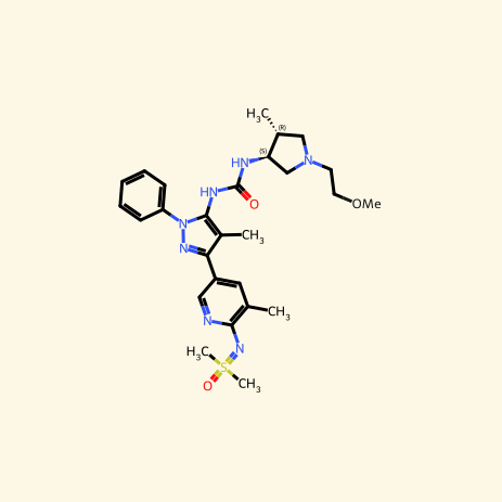 COCCN1C[C@@H](C)[C@H](NC(=O)Nc2c(C)c(-c3cnc(N=S(C)(C)=O)c(C)c3)nn2-c2ccccc2)C1